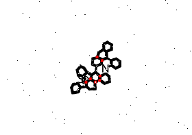 c1cc(-c2ccc3c(c2)sc2ccccc23)cc(N(c2ccccc2-c2cccc3ccccc23)c2ccccc2-c2cccc3oc4ccccc4c23)c1